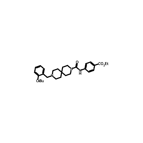 CCOC(=O)c1ccc(NC(=O)N2CCC3(CCN(Cc4ccccc4OCC(C)C)CC3)CC2)cc1